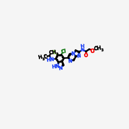 COCC(=O)Nc1cn2cc(-c3c(Cl)c(F)c(NC(C)C)c4[nH]ncc34)ncc2n1